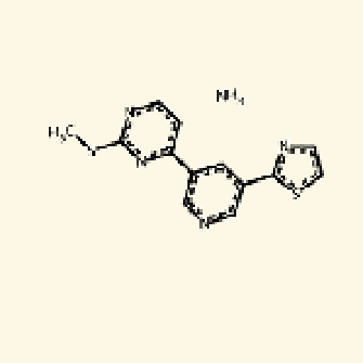 CSc1nccc(-c2cncc(-c3nccs3)c2)n1.N